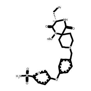 CCCCN1C(=O)[C@H](CC(C)C)NC(=O)C12CCN(Cc1ccc(Oc3ccc(S(N)(=O)=O)cc3)cc1)CC2